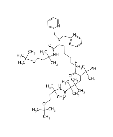 CC(C)(CCOC(C)(C)C)NC(=O)C(CCCCNC(=O)C(CC(C)(C)C(C)(C)C(=O)NC(C)(C)CCOC(C)(C)C)C(C)(C)S)N(Cc1ccccn1)Cc1ccccn1